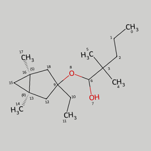 CCCC(C)(C)C(O)OC1(CC)C[C@@]2(C)C[C@@]2(C)C1